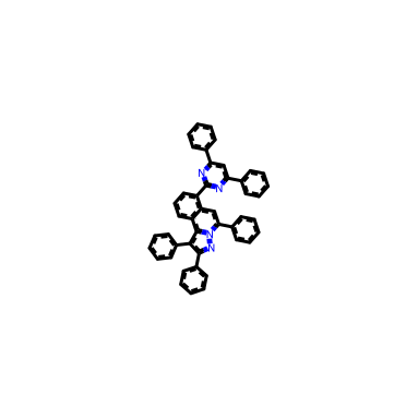 c1ccc(-c2cc(-c3ccccc3)nc(-c3cccc4c3cc(-c3ccccc3)n3nc(-c5ccccc5)c(-c5ccccc5)c43)n2)cc1